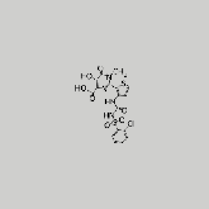 Cn1c(-c2sccc2NC(=O)NS(=O)(=O)c2ccccc2Cl)nc(C(=O)O)c(O)c1=O